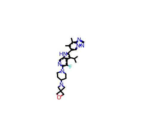 Cc1c(-c2[nH]c3cnc(N4CCC(N5CC6(COC6)C5)CC4)c(F)c3c2C(C)C)cn2ncnc2c1C